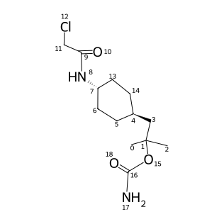 CC(C)(C[C@H]1CC[C@H](NC(=O)CCl)CC1)OC(N)=O